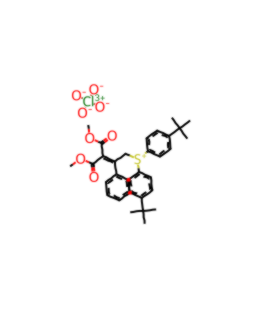 COC(=O)C(C(=O)OC)=C(C[S+](c1ccc(C(C)(C)C)cc1)c1ccc(C(C)(C)C)cc1)c1ccccc1.[O-][Cl+3]([O-])([O-])[O-]